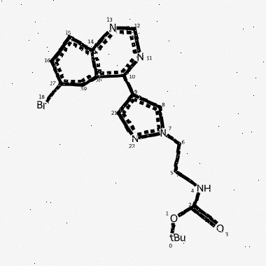 CC(C)(C)OC(=O)NCCn1cc(-c2ncnc3ccc(Br)cc23)cn1